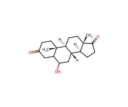 C[C@]12CCC(=O)CC1C(O)C[C@@H]1[C@@H]2CC[C@]2(C)C(=O)CC[C@@H]12